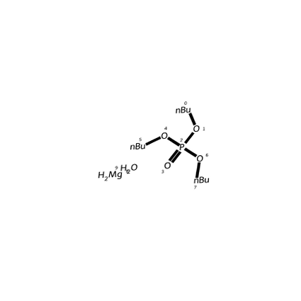 CCCCOP(=O)(OCCCC)OCCCC.O.[MgH2]